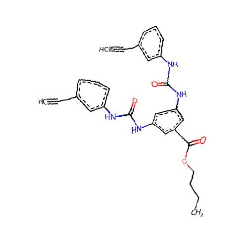 C#Cc1cccc(NC(=O)Nc2cc(NC(=O)Nc3cccc(C#C)c3)cc(C(=O)OCCCC)c2)c1